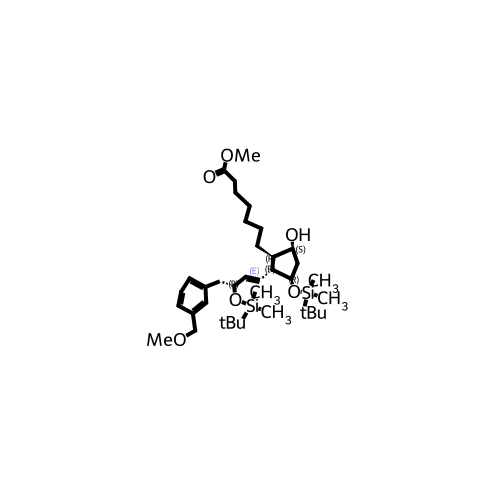 COCc1cccc(C[C@H](/C=C/[C@@H]2[C@@H](CCCCCCC(=O)OC)[C@@H](O)C[C@H]2O[Si](C)(C)C(C)(C)C)O[Si](C)(C)C(C)(C)C)c1